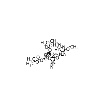 CCOc1nc(N)nc2c1ncn2[C@@H]1O[C@]2(CN=[N+]=[N-])C(OP(=O)(OCOC(=O)OC(C)C)OCOC(=O)OC(C)C)[C@]2(O)[C@H]1F